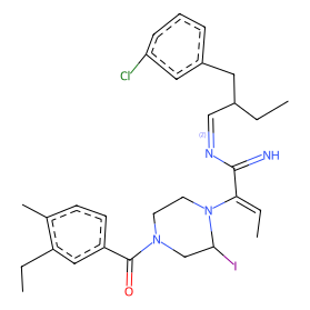 CC=C(C(=N)/N=C\C(CC)Cc1cccc(Cl)c1)N1CCN(C(=O)c2ccc(C)c(CC)c2)CC1I